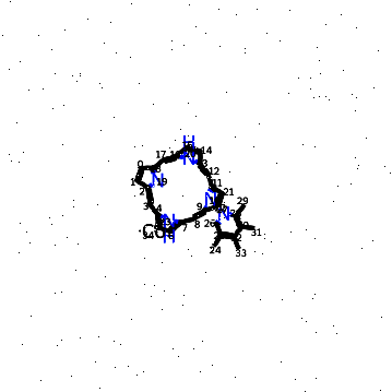 C1=Cc2cc3ccc(cc4nc(cc5ccc(cc1n2)[nH]5)C=C4)[nH]3.Cc1cnc(C)c(C)c1C.[Co]